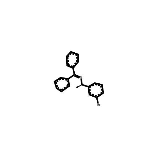 C[C@@H](N=C(c1ccccc1)c1ccccc1)c1cccc(Br)c1